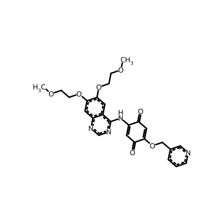 COCCOc1cc2ncnc(NC3=CC(=O)C(OCc4cccnc4)=CC3=O)c2cc1OCCOC